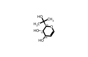 CC(C)(O)[C@H]1OC=C[C@@H](O)[C@@H]1O